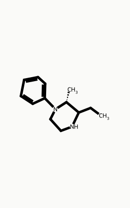 CCC1NCCN(c2ccccc2)[C@@H]1C